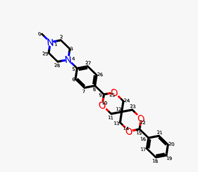 CN1CCN(c2ccc(C3OCC4(COC(c5ccccc5)OC4)CO3)cc2)CC1